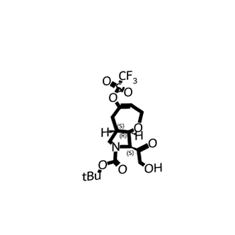 CC(C)(C)OC(=O)N1C[C@@H]2CC(OS(=O)(=O)C(F)(F)F)=CCO[C@H]2[C@H]1C(=O)CO